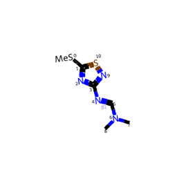 CSc1nc(/N=C/N(C)C)ns1